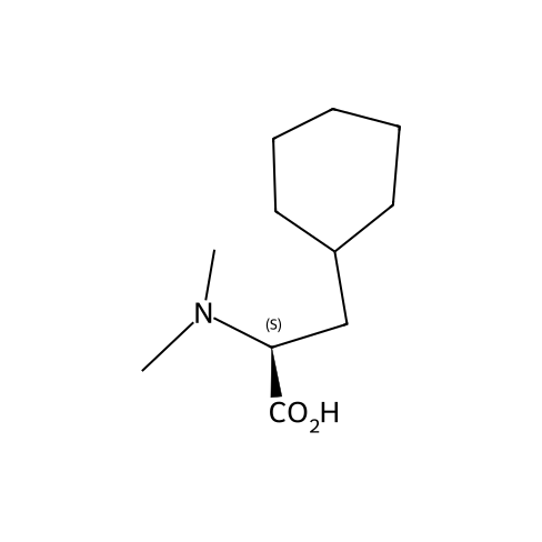 CN(C)[C@@H](CC1CCCCC1)C(=O)O